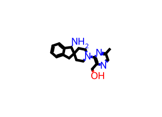 Cc1cnc(CO)c(N2CCC3(CC2)Cc2ccccc2[C@@H]3N)n1